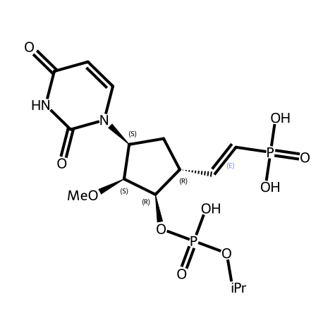 CO[C@@H]1[C@H](OP(=O)(O)OC(C)C)[C@@H](/C=C/P(=O)(O)O)C[C@@H]1n1ccc(=O)[nH]c1=O